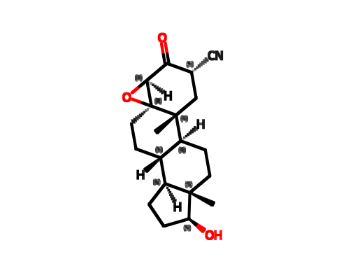 C[C@]12CC[C@H]3[C@@H](CC[C@]45O[C@H]4C(=O)[C@H](C#N)C[C@]35C)[C@@H]1CC[C@@H]2O